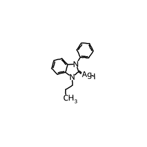 CCCn1[c](=[Ag][I])n(-c2ccccc2)c2ccccc21